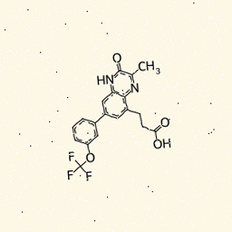 Cc1nc2c(CCC(=O)O)cc(-c3cccc(OC(F)(F)F)c3)cc2[nH]c1=O